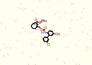 CC(C)(C)OC(=O)N1C2CCCC1(COC(=O)Nc1ccc(O)cc1-c1cccc(Cl)c1)CC2